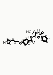 O=C(NCC(NS(=O)(=O)c1ccccc1)C(=O)O)c1ccc(OCCCC2CNC2)cc1